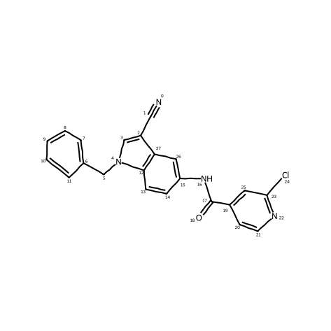 N#Cc1cn(Cc2ccccc2)c2ccc(NC(=O)c3ccnc(Cl)c3)cc12